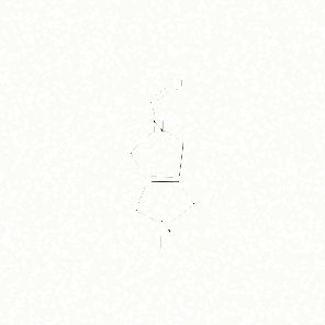 O=CN1CC2=C(CNC2)C1